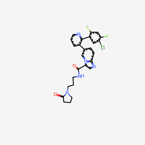 O=C(NCCCN1CCCC1=O)c1cnc2ccc(-c3cccnc3-c3cc(Cl)c(F)cc3F)cn12